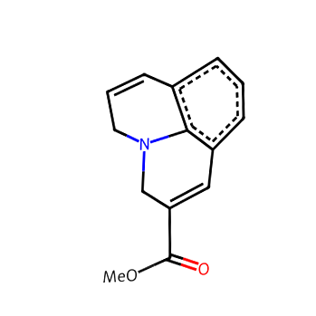 COC(=O)C1=Cc2cccc3c2N(CC=C3)C1